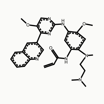 C=CC(=O)Nc1cc(Nc2ncc(OC)c(-c3cnc4ccccc4c3)n2)c(OC)cc1N(C)CCN(C)C